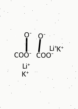 O=C([O-])[O-].O=C([O-])[O-].[K+].[K+].[Li+].[Li+]